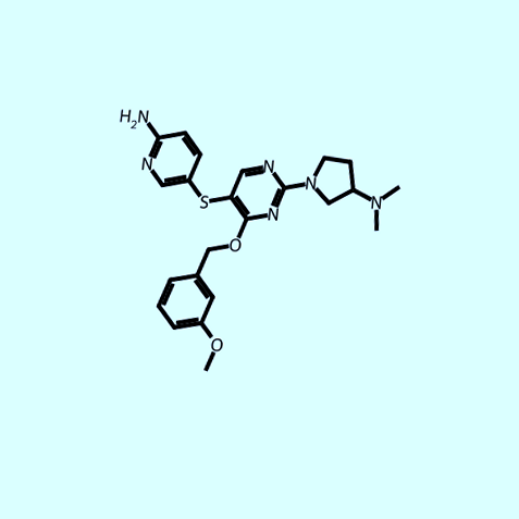 COc1cccc(COc2nc(N3CCC(N(C)C)C3)ncc2Sc2ccc(N)nc2)c1